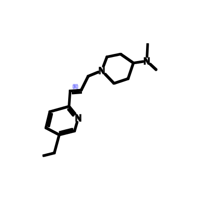 CCc1ccc(/C=C/CN2CCC(N(C)C)CC2)nc1